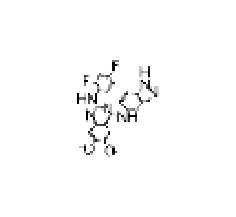 COc1cc2nc(Nc3ccc(F)cc3F)nc(Nc3ccc4[nH]ncc4c3)c2cc1OC